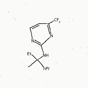 CCCC(C)(CC)Nc1nccc(C(F)(F)F)n1